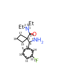 CCN(CC)C(=O)C1(C(N)c2cccc(F)c2)CCC1